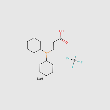 F[B-](F)(F)F.O=C(O)CCP(C1CCCCC1)C1CCCCC1.[NaH]